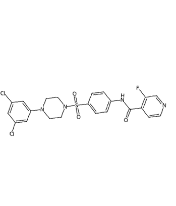 O=C(Nc1ccc(S(=O)(=O)N2CCN(c3cc(Cl)cc(Cl)c3)CC2)cc1)c1ccncc1F